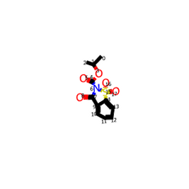 CC(C)OC(=O)N1C(=O)c2ccccc2S1(=O)=O